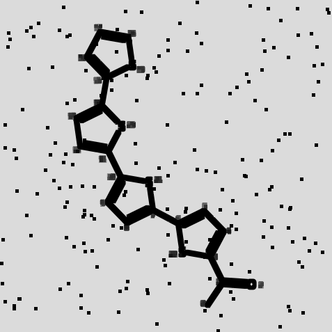 CC(=O)c1ccc(-c2ccc(-c3ccc(-c4cccs4)s3)s2)s1